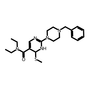 CCN(CC)C(=O)C1=CN=C(N2CCN(Cc3ccccc3)CC2)NC1SC